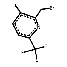 FC(F)(F)c1ccc(I)c(CBr)n1